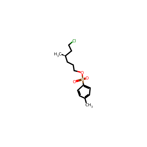 Cc1ccc(S(=O)(=O)OCCC[C@@H](C)CCCl)cc1